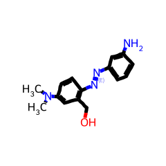 CN(C)c1ccc(/N=N/c2cccc(N)c2)c(CO)c1